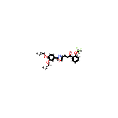 CCOc1ccc(-c2nc(CCC(=O)c3ccccc3OC(F)(F)F)co2)cc1OCC